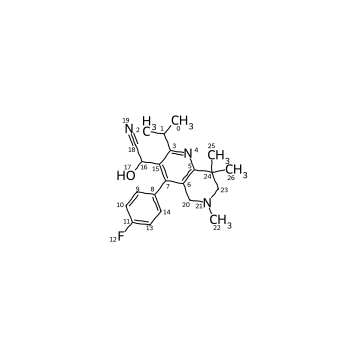 CC(C)c1nc2c(c(-c3ccc(F)cc3)c1C(O)C#N)CN(C)CC2(C)C